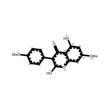 COc1ccc(-c2c(O)oc3cc(OC)cc(O)c3c2=O)cc1